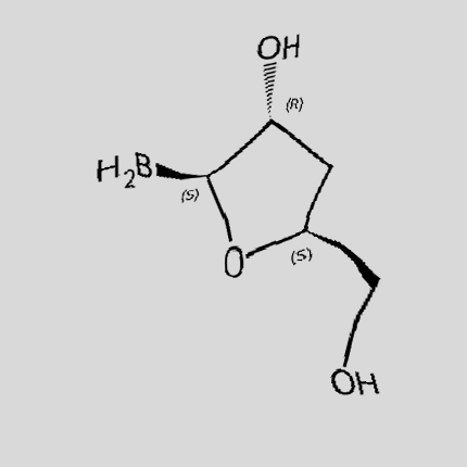 B[C@@H]1O[C@H](CO)C[C@H]1O